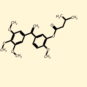 C=C(c1ccc(OC)c(OC(=O)CC(C)C)c1)c1cc(OC)c(OC)c(OC)c1